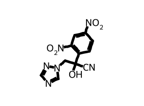 N#CC(O)(Cn1cncn1)c1ccc([N+](=O)[O-])cc1[N+](=O)[O-]